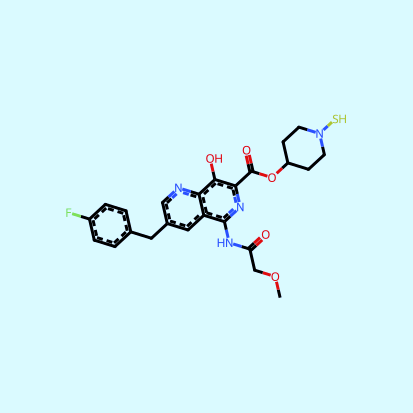 COCC(=O)Nc1nc(C(=O)OC2CCN(S)CC2)c(O)c2ncc(Cc3ccc(F)cc3)cc12